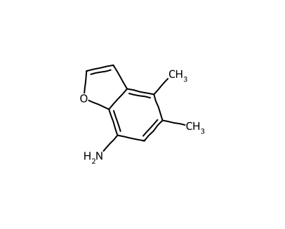 Cc1cc(N)c2occc2c1C